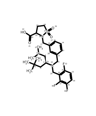 CN(C)C[C@H](CC(C)(C)C)N(Cc1cccc(CN2C(C(=O)O)CCS2(=O)=O)c1)Cc1c(F)ccc(F)c1F